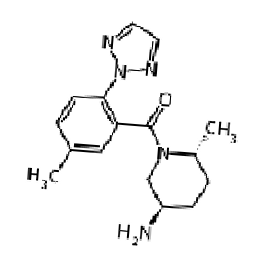 Cc1ccc(-n2nccn2)c(C(=O)N2C[C@H](N)CC[C@H]2C)c1